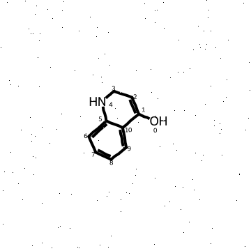 OC1=CCNc2ccccc21